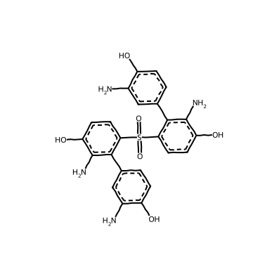 Nc1cc(-c2c(S(=O)(=O)c3ccc(O)c(N)c3-c3ccc(O)c(N)c3)ccc(O)c2N)ccc1O